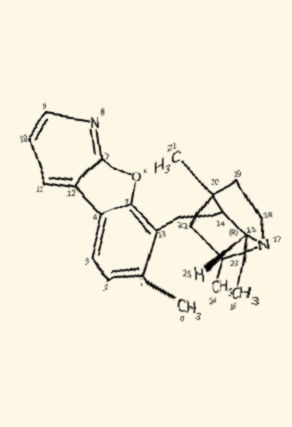 Cc1ccc2c(oc3ncccc32)c1C1[C@@H](C)N2CCC1(C)CC2C